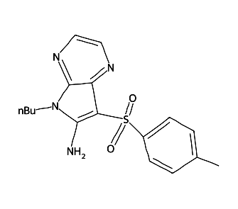 CCCCn1c(N)c(S(=O)(=O)c2ccc(C)cc2)c2nccnc21